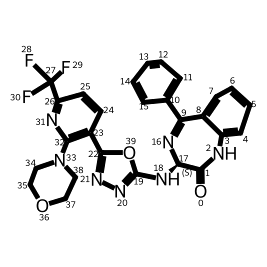 O=C1Nc2ccccc2C(c2ccccc2)=N[C@@H]1Nc1nnc(-c2ccc(C(F)(F)F)nc2N2CCOCC2)o1